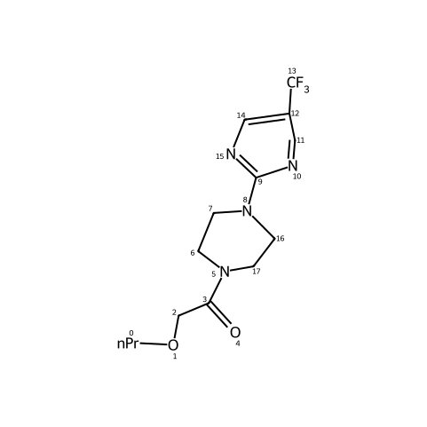 CCCOCC(=O)N1CCN(c2ncc(C(F)(F)F)cn2)CC1